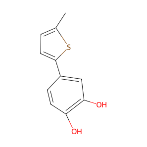 Cc1ccc(-c2ccc(O)c(O)c2)s1